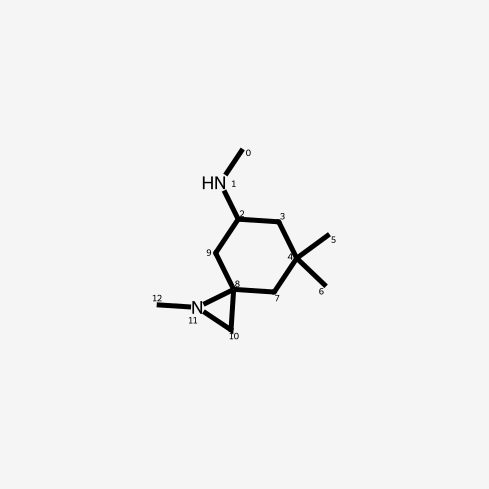 CNC1CC(C)(C)CC2(C1)CN2C